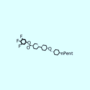 CCCCC[C@H]1CC[C@H](CO[C@H]2CC[C@H]([C@H]3CC[C@H](C(=O)Oc4cc(F)c(F)c(F)c4)CC3)CC2)CC1